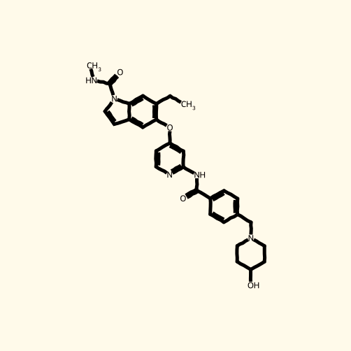 CCc1cc2c(ccn2C(=O)NC)cc1Oc1ccnc(NC(=O)c2ccc(CN3CCC(O)CC3)cc2)c1